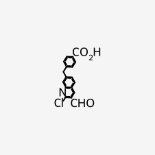 O=Cc1cc2ccc(Cc3ccc(C(=O)O)cc3)cc2nc1Cl